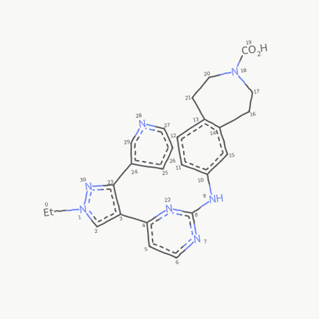 CCn1cc(-c2ccnc(Nc3ccc4c(c3)CCN(C(=O)O)CC4)n2)c(-c2cccnc2)n1